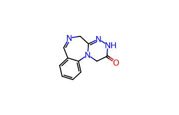 O=C1CN2C(=NN1)CN=Cc1ccccc12